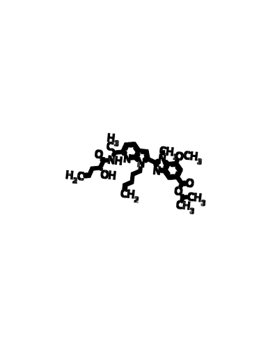 C=CCCCn1c(-c2nc3cc(C(=O)OC(C)C)cc(OC)c3n2C)cc2ccc([C@@H](C)NC(=O)[C@@H](O)CC=C)nc21